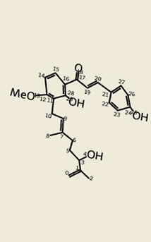 C=C(C)C(O)CC/C(C)=C/Cc1c(OC)ccc(C(=O)/C=C/c2ccc(O)cc2)c1O